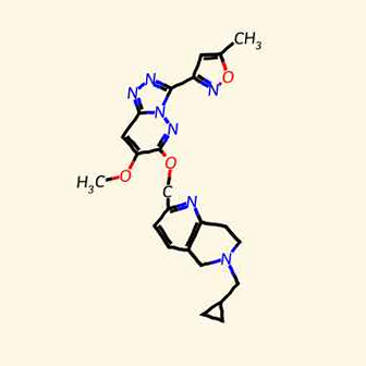 COc1cc2nnc(-c3cc(C)on3)n2nc1OCc1ccc2c(n1)CCN(CC1CC1)C2